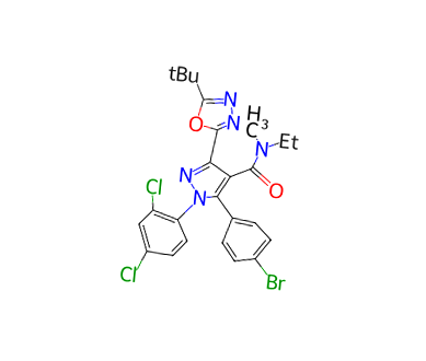 CCN(C)C(=O)c1c(-c2nnc(C(C)(C)C)o2)nn(-c2ccc(Cl)cc2Cl)c1-c1ccc(Br)cc1